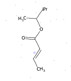 C/C=C/C(=O)OC(C)C(C)C